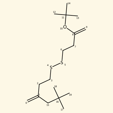 C=C(CCSSCCC(=C)OC(C)(C)C)CC(C)(C)C